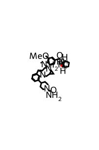 COc1cc(C(=O)N2C[C@H]3CC[C@@H]2[C@@H]3N)cc2nc(-c3cc4cccc(C5CCN(C(N)=O)CC5)c4n3CC3CC3)n(C)c12